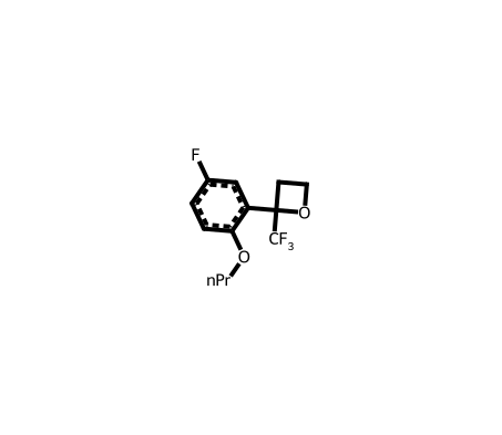 CCCOc1ccc(F)cc1C1(C(F)(F)F)CCO1